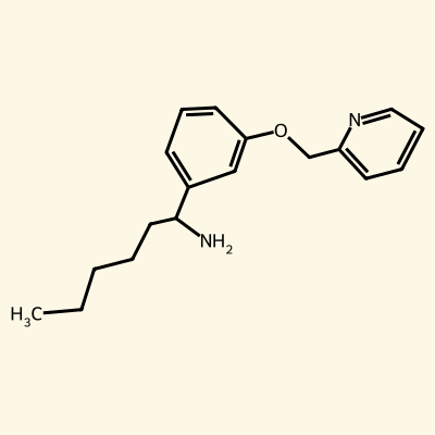 CCCCCC(N)c1cccc(OCc2ccccn2)c1